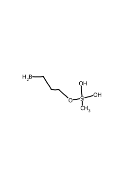 BCCCO[Si](C)(O)O